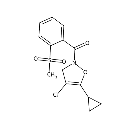 CS(=O)(=O)c1ccccc1C(=O)N1CC(Cl)=C(C2CC2)O1